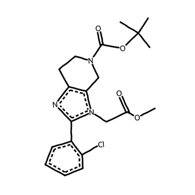 COC(=O)Cn1c(-c2ccccc2Cl)nc2c1CN(C(=O)OC(C)(C)C)CC2